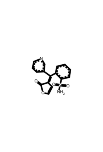 NS(=O)(=O)c1ccccc1C(=C1C=COC1=O)c1cccnc1